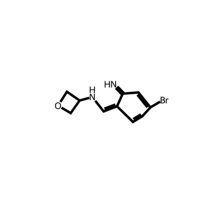 N=C1C=C(Br)C=C/C1=C/NC1COC1